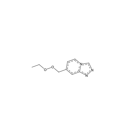 CCOOCc1ccn2cnnc2c1